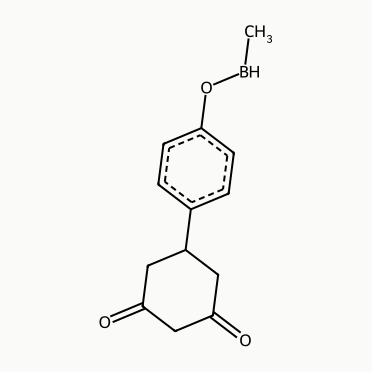 CBOc1ccc(C2CC(=O)CC(=O)C2)cc1